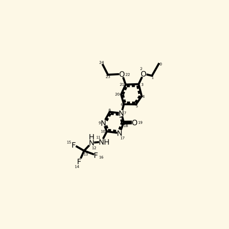 CCOc1ccc(-n2cnc(NNC(F)(F)F)nc2=O)cc1OCC